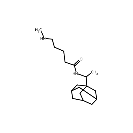 CNCCCCC(=O)NC(C)C12CC3CC(CC(C3)C1)C2